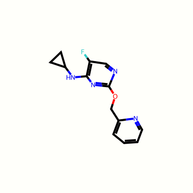 Fc1cnc(OCc2ccccn2)nc1NC1CC1